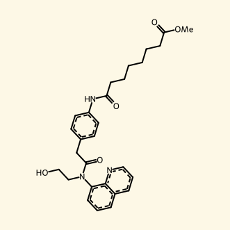 COC(=O)CCCCCCC(=O)Nc1ccc(CC(=O)N(CCO)c2cccc3cccnc23)cc1